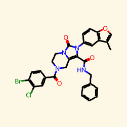 Cc1coc2ccc(-n3c(C(=O)NCc4ccccc4)c4n(c3=O)CCN(C(=O)c3ccc(Br)c(Cl)c3)C4)cc12